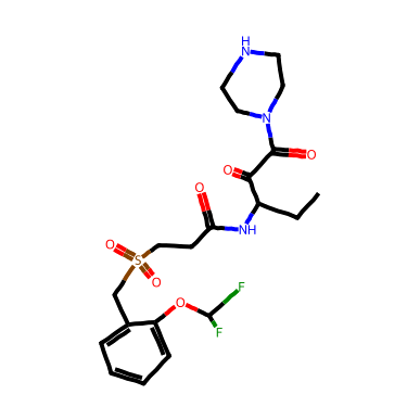 CCC(NC(=O)CCS(=O)(=O)Cc1ccccc1OC(F)F)C(=O)C(=O)N1CCNCC1